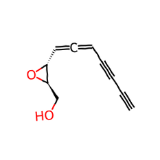 C#CC#CC=C=C[C@H]1O[C@@H]1CO